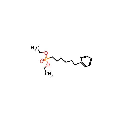 CCOP(=O)(CCCCCCc1[c]cccc1)OCC